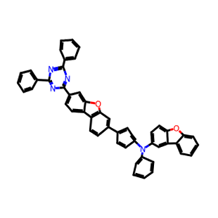 c1ccc(-c2nc(-c3ccccc3)nc(-c3ccc4c(c3)oc3cc(-c5ccc(N(c6ccccc6)c6ccc7oc8ccccc8c7c6)cc5)ccc34)n2)cc1